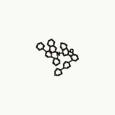 c1ccc(-c2ccc(-c3ccccc3N(c3ccc4ccccc4c3)c3cc4c(oc5cccc(-c6ccc(-c7ccccc7)cc6)c54)c4ccccc34)cc2)cc1